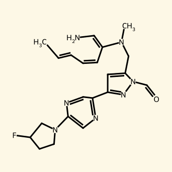 C/C=C/C=C\C(=C/N)N(C)Cc1cc(-c2cnc(N3CCC(F)C3)cn2)nn1C=O